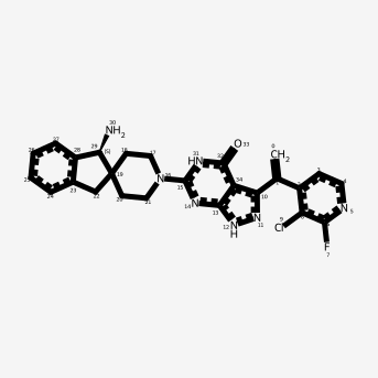 C=C(c1ccnc(F)c1Cl)c1n[nH]c2nc(N3CCC4(CC3)Cc3ccccc3[C@H]4N)[nH]c(=O)c12